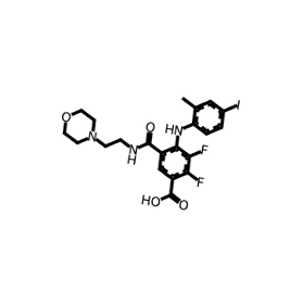 Cc1cc(I)ccc1Nc1c(C(=O)NCCN2CCOCC2)cc(C(=O)O)c(F)c1F